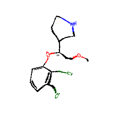 COC[C@@H](Oc1cccc(Cl)c1Cl)C1CCNC1